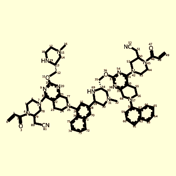 C=CC(=O)N1CCN(c2nc(OC[C@H]3CN(C)CCN3)nc3c2CCN(c2cc(C4CN(C)C[C@@H](COc5nc6c(c(N7CCN(C(=O)C=C)C(CC#N)C7)n5)CCN(c5cccc7ccccc57)C6)N4)cc4ccccc24)C3)CC1CC#N